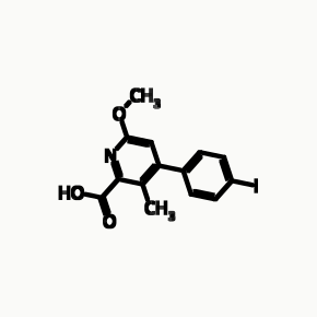 COc1cc(-c2ccc(I)cc2)c(C)c(C(=O)O)n1